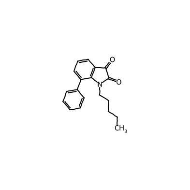 CCCCCN1C(=O)C(=O)c2cccc(-c3ccccc3)c21